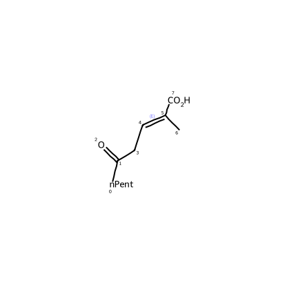 CCCCCC(=O)C/C=C(\C)C(=O)O